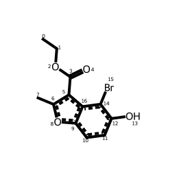 CCOC(=O)c1c(C)oc2ccc(O)c(Br)c12